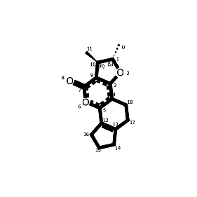 C[C@@H]1Oc2c3c(oc(=O)c2[C@H]1C)C1=C(CCC1)CC3